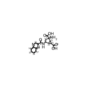 NC1(C(=O)O)CC(NC(=O)c2cnc3ccccc3n2)C2C(C(=O)O)C21